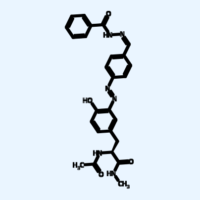 CNC(=O)[C@H](Cc1ccc(O)c(/N=N/c2ccc(/C=N\NC(=O)c3ccccc3)cc2)c1)NC(C)=O